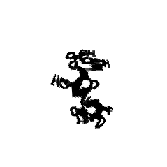 O=c1[nH]c(=O)n([C@H]2C[C@H](O)[C@@H]([C@@H](CO)OP(=O)(O)O)O2)cc1F